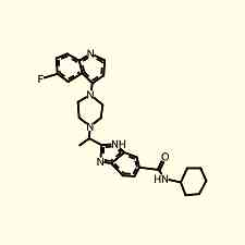 CC(c1nc2ccc(C(=O)NC3CCCCC3)cc2[nH]1)N1CCN(c2ccnc3ccc(F)cc23)CC1